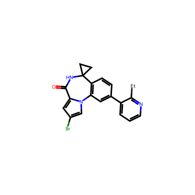 CCc1ncccc1-c1ccc2c(c1)-n1cc(Br)cc1C(=O)NC21CC1